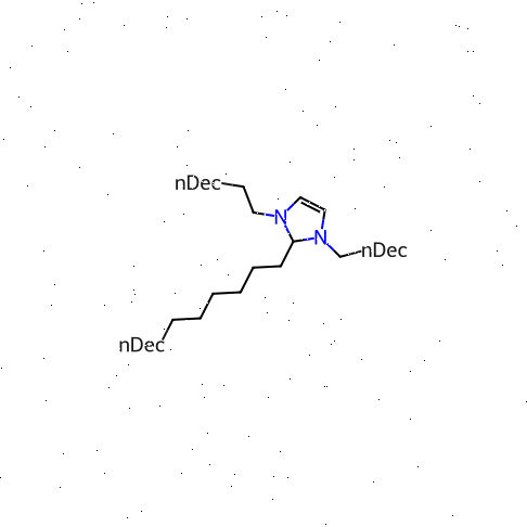 CCCCCCCCCCCCCCCCC1N(CCCCCCCCCCC)C=CN1CCCCCCCCCCCC